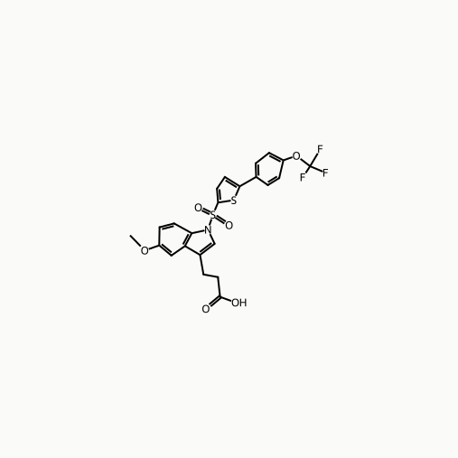 COc1ccc2c(c1)c(CCC(=O)O)cn2S(=O)(=O)c1ccc(-c2ccc(OC(F)(F)F)cc2)s1